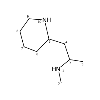 CNC(C)CC1CCCCN1